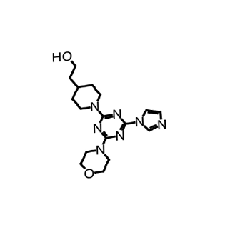 OCCC1CCN(c2nc(N3CCOCC3)nc(-n3ccnc3)n2)CC1